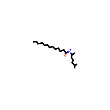 CCCCCCCCCCCCC(=O)N(I)C(C)CCCC(C)C